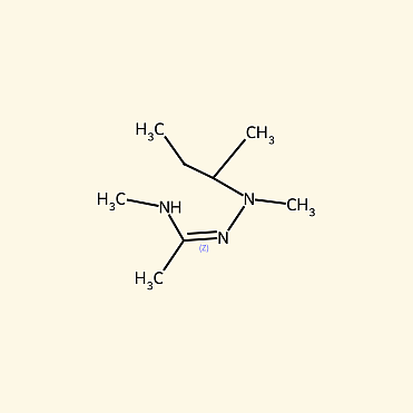 CCC(C)N(C)/N=C(/C)NC